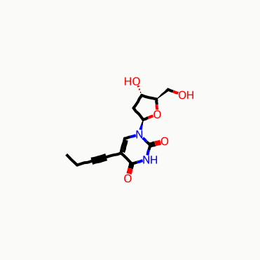 CCC#Cc1cn([C@H]2C[C@H](O)[C@@H](CO)O2)c(=O)[nH]c1=O